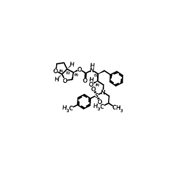 Cc1ccc(S(=O)(=O)N(CC(C)C)C[C@@H](O)[C@H](Cc2ccccc2)NC(=O)O[C@H]2CO[C@H]3OCC[C@H]32)cc1